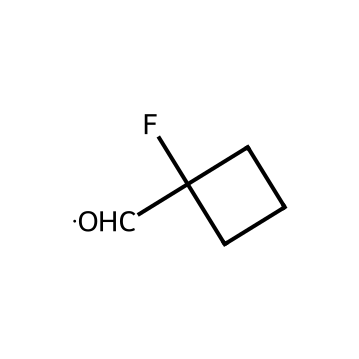 O=[C]C1(F)CCC1